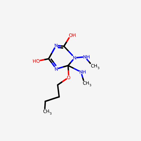 CCCCOC1(NC)N=C(O)N=C(O)N1NC